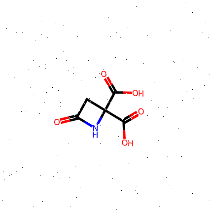 O=C1CC(C(=O)O)(C(=O)O)N1